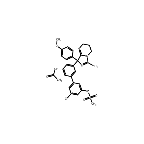 CC(=O)O.COc1ccc(C2(c3cccc(-c4cc(Cl)cc(OS(C)(=O)=O)c4)c3)N=C(N)N3CCCN=C32)cc1